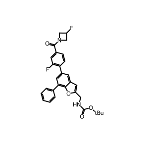 CC(C)(C)OC(=O)NCc1cc2cc(-c3ccc(C(=O)N4CC(F)C4)cc3F)cc(-c3ccccc3)c2o1